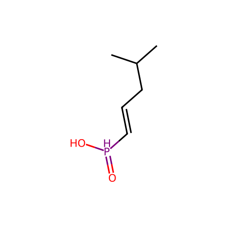 CC(C)CC=C[PH](=O)O